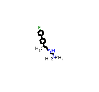 CC(=CCNCCN(C)C)c1ccc(-c2ccc(F)cc2)cc1